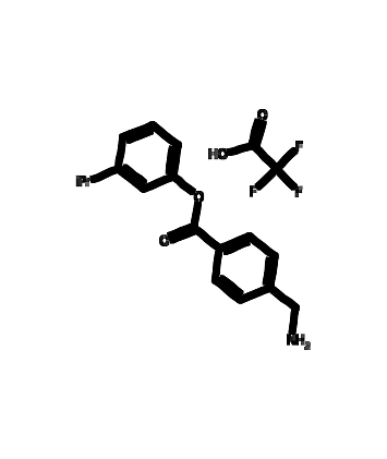 CC(C)c1cccc(OC(=O)c2ccc(CN)cc2)c1.O=C(O)C(F)(F)F